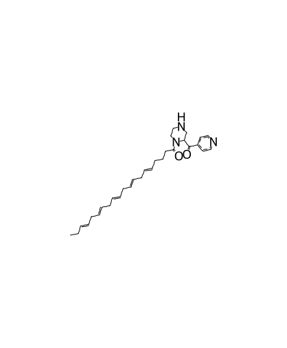 CCC=CCC=CCC=CCC=CCC=CCCCC(=O)N1CCNCC1C(=O)c1ccncc1